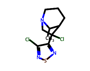 CC1C2CCCN1CC2(Cl)c1nsnc1Cl